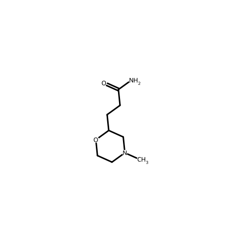 CN1CCOC(CCC(N)=O)C1